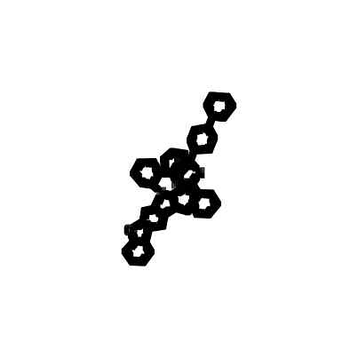 c1ccc(-c2ccc(-c3nc(-c4ccccc4)nc(-c4ccccc4-n4c5cc6oc7ccccc7c6cc5c5cccc(-c6ccccc6)c54)n3)cc2)cc1